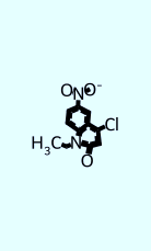 CCn1c(=O)cc(Cl)c2cc([N+](=O)[O-])ccc21